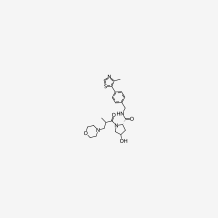 Cc1ncsc1-c1ccc(CNC(=O)[C@@H]2CC(O)CN2C(=O)C(C)CN2CCOCC2)cc1